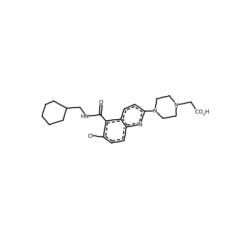 O=C(O)CN1CCN(c2ccc3c(C(=O)NCC4CCCCC4)c(Cl)ccc3n2)CC1